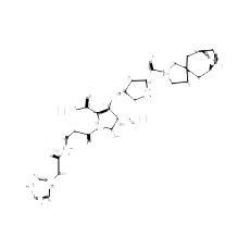 C[C@H](CC(=O)N1C(C(=O)O)=C(S[C@@H]2CN[C@H](C(=O)N3CCC4(CC5CCC(C4)N5)C3)C2)[C@H](C)[C@@H]1C)NC(=O)Cn1cnnn1